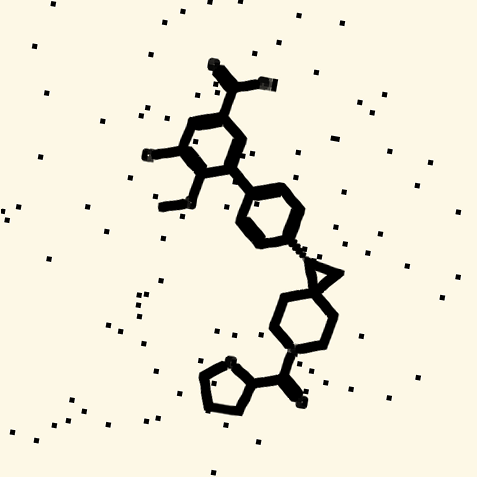 COc1c(Cl)cc(C(=O)O)cc1-c1ccc([C@@H]2CC23CCN(C(=O)C2CCCO2)CC3)cc1